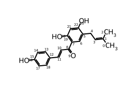 CC(C)=CCc1cc(C(=O)C=Cc2ccc(O)cc2)c(O)cc1O